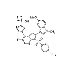 COc1ccc2c(c1)c(-c1cc3c(-c4cnc(C5(O)CCC5)s4)c(F)cnc3n1S(=O)(=O)c1ccc(C)cc1)cn2C